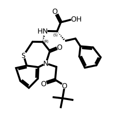 CC(C)(C)OC(=O)CN1C(=O)[C@@H](N[C@@H](CCc2ccccc2)C(=O)O)CSc2ccccc21